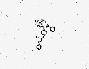 CC(C)(C)OC(=O)N(C1CCN(CC(O)COc2ccccc2)CC1)[C@@H]1C[C@H]1C1C=CC=CC1